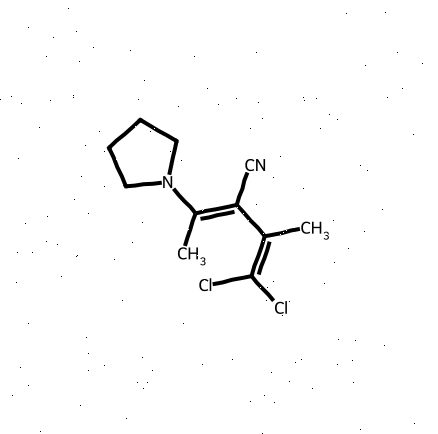 CC(=C(Cl)Cl)/C(C#N)=C(\C)N1CCCC1